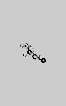 NC(OC(=O)C(F)(F)F)c1cc(O[C@H]2CCCN(C(=O)Cc3ccccc3)C2)nc(C(F)(F)F)c1